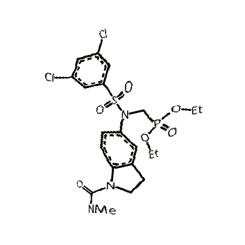 CCOP(=O)(CN(c1ccc2c(c1)CCN2C(=O)NC)S(=O)(=O)c1cc(Cl)cc(Cl)c1)OCC